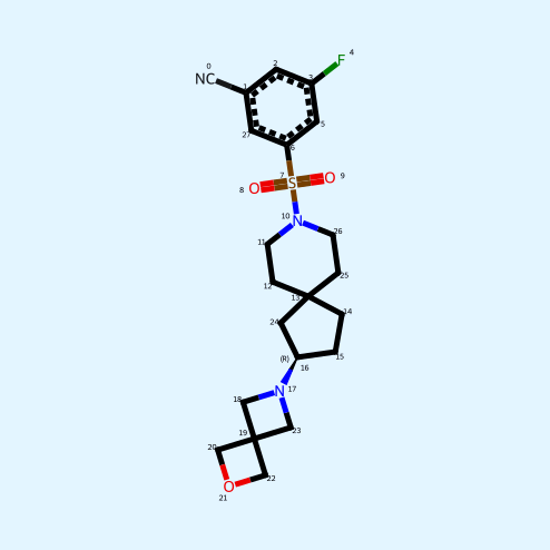 N#Cc1cc(F)cc(S(=O)(=O)N2CCC3(CC[C@@H](N4CC5(COC5)C4)C3)CC2)c1